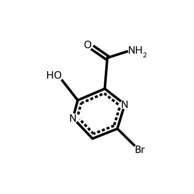 NC(=O)c1nc(Br)cnc1O